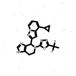 CC(F)(F)c1nnc(N2CCc3[nH]cnc3C2c2cc3c(C4CC4)cccn3n2)o1